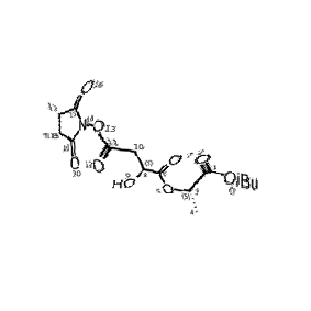 CC(C)COC(=O)[C@H](C)OC(=O)[C@@H](O)CC(=O)ON1C(=O)CCC1=O